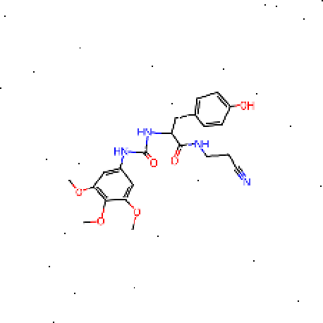 COc1cc(NC(=O)NC(Cc2ccc(O)cc2)C(=O)NCCC#N)cc(OC)c1OC